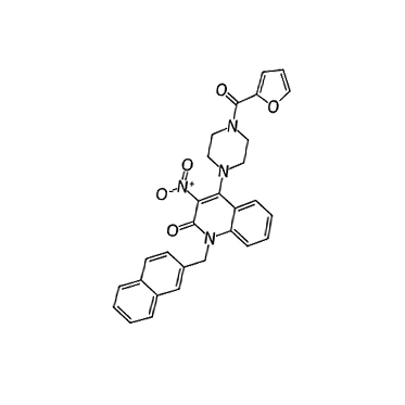 O=C(c1ccco1)N1CCN(c2c([N+](=O)[O-])c(=O)n(Cc3ccc4ccccc4c3)c3ccccc23)CC1